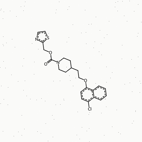 O=C(OCc1nccs1)N1CCC(CCOc2ccc(Cl)c3ccccc23)CC1